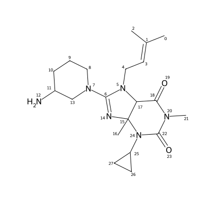 CC(C)=CCN1C(N2CCCC(N)C2)=NC2(C)C1C(=O)N(C)C(=O)N2C1CC1